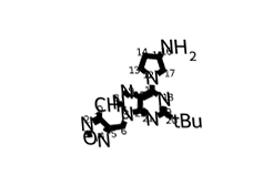 Cc1nonc1Cn1nnc2c(N3CCC(N)C3)nc(C(C)(C)C)nc21